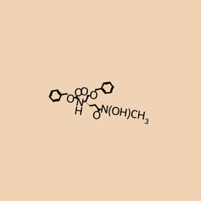 CN(O)C(=O)CC[C@H](NC(=O)OCc1ccccc1)C(=O)OCc1ccccc1